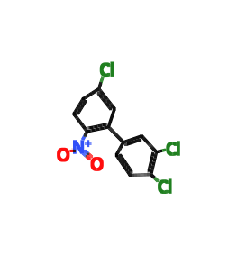 O=[N+]([O-])c1ccc(Cl)cc1-c1ccc(Cl)c(Cl)c1